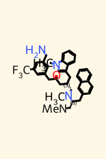 CNC[C@H](Cc1ccc2ccccc2c1)N(C)C[C@H](CC(=O)Cc1cc(CN)cc(C(F)(F)F)c1)Cc1cn(C)c2ccccc12